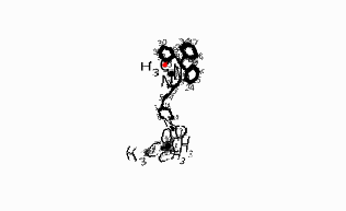 Cc1nc(C=CC2CCN(C(=O)OC(C)(C)C)CC2)cn1C(c1ccccc1)(c1ccccc1)c1ccccc1